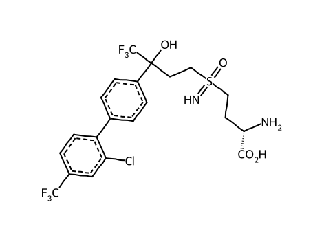 N=S(=O)(CC[C@H](N)C(=O)O)CCC(O)(c1ccc(-c2ccc(C(F)(F)F)cc2Cl)cc1)C(F)(F)F